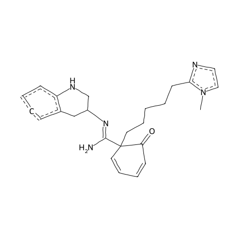 Cn1ccnc1CCCCCC1(C(N)=NC2CNc3ccccc3C2)C=CC=CC1=O